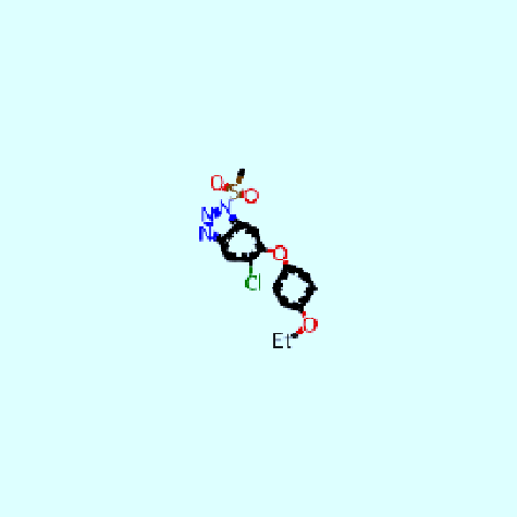 CCOc1ccc(Oc2cc3c(cc2Cl)nnn3S(C)(=O)=O)cc1